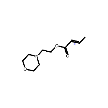 C/C=C/C(=O)OCCN1CCOCC1